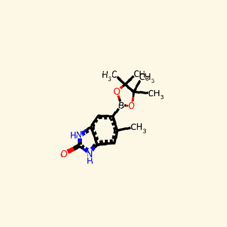 Cc1cc2[nH]c(=O)[nH]c2cc1B1OC(C)(C)C(C)(C)O1